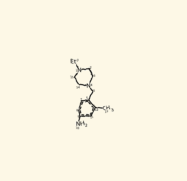 CCN1CCN(Cc2ccc(N)cc2C)CC1